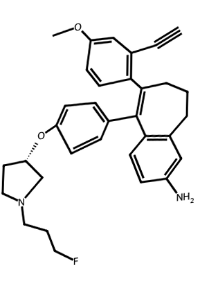 C#Cc1cc(OC)ccc1C1=C(c2ccc(O[C@H]3CCN(CCCF)C3)cc2)c2ccc(N)cc2CCC1